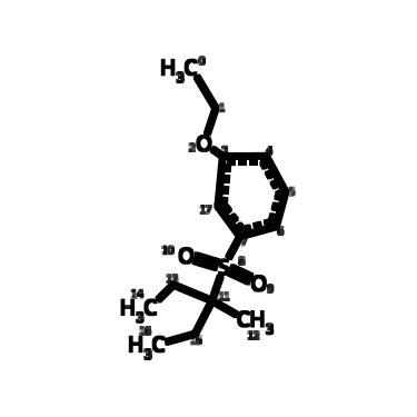 CCOc1cccc(S(=O)(=O)C(C)(CC)CC)c1